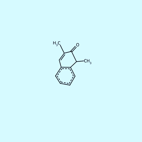 CC1=Cc2ccccc2C(C)C1=O